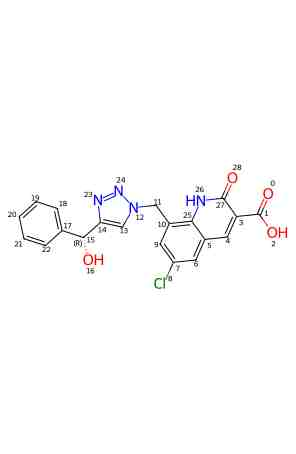 O=C(O)c1cc2cc(Cl)cc(Cn3cc([C@H](O)c4ccccc4)nn3)c2[nH]c1=O